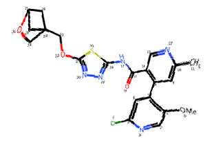 COc1cnc(Cl)cc1-c1cc(C)ncc1C(=O)Nc1nnc(OCC23COC(C2)C3)s1